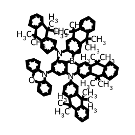 CC1(C)c2ccccc2C(C)(C)c2cc(N3c4cc5c(cc4B4c6cc7c(cc6N(c6ccc8c(c6)C(C)(C)c6ccccc6C8(C)C)c6cc(N8c9ccccc9Oc9ccccc98)cc3c64)C(C)(C)c3ccccc3C7(C)C)C(C)(C)c3ccccc3C5(C)C)ccc21